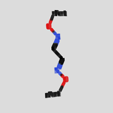 CCCCCO/N=C/C=N/OCCCCC